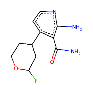 NC(=O)c1c(C2CCOC(F)C2)ccnc1N